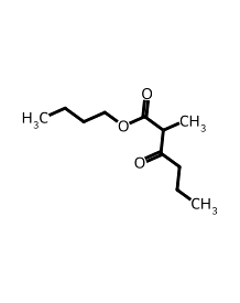 CCCCOC(=O)C(C)C(=O)CCC